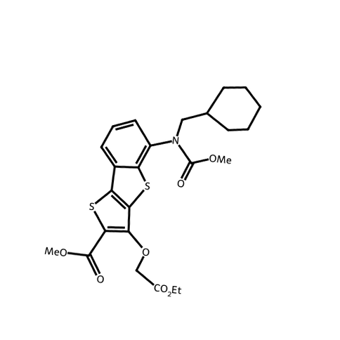 CCOC(=O)COc1c(C(=O)OC)sc2c1sc1c(N(CC3CCCCC3)C(=O)OC)cccc12